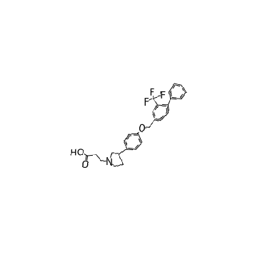 O=C(O)CCN1CCC(c2ccc(OCc3ccc(-c4ccccc4)c(C(F)(F)F)c3)cc2)C1